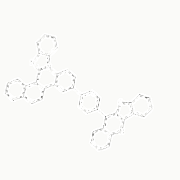 c1ccc2c(c1)ccc1c3cc(-c4ccc(-c5c6ccccc6nc6c5oc5ccccc56)cc4)ccc3n3c4ccccc4nc3c21